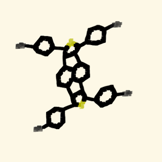 CCCc1ccc(-c2sc(-c3ccc(CCC)cc3)c3c2-c2ccc4c5c(ccc-3c25)-c2c(-c3ccc(CCC)cc3)sc(-c3ccc(CCC)cc3)c2-4)cc1